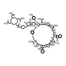 CC(C)C[C@@H]1NC(=O)[C@H](Cc2c[nH]c3ccccc23)NC(=O)[C@H](CC(=O)O)NC(=O)[C@H]2CCCN2C(=O)[C@H](CCC(=O)O)NC(=O)[C@@H](NC(=O)[C@H](Cc2ccc(O)cc2)NC(=O)[C@@H](NC(=O)CN2CCC(NC(=O)CN3CCN(CC(=O)O)CCN(CC(=O)O)CCN(CC(=O)O)CC3)CC2)C(C)C)CSCc2cccc(c2)CSC[C@@H](C(N)=O)NC(=O)[C@H](CO)NC(=O)C(Cc2c[nH]c3ccccc23)NC(=O)[C@H]([C@@H](C)O)NC1=O